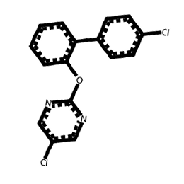 Clc1ccc(-c2ccccc2Oc2ncc(Cl)cn2)cc1